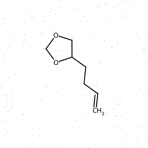 C=CCCC1CO[CH]O1